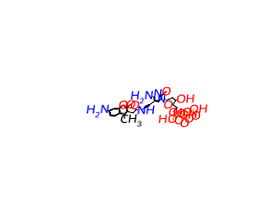 Cc1c(CC(=O)NC#Cc2cn([C@H]3C[C@@H](O)C(COP(=O)(O)OP(=O)(O)OP(=O)(O)O)O3)c(=O)nc2N)c(=O)oc2cc(N)ccc12